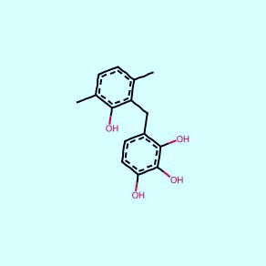 Cc1ccc(C)c(Cc2ccc(O)c(O)c2O)c1O